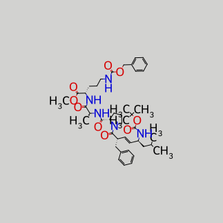 COC(=O)[C@H](CCCNC(=O)OCc1ccccc1)NC(=O)[C@H](C)NC(=O)[C@@H]1CCCN1C(=O)[C@H](/C=C/[C@H](CC(C)C)NC(=O)OC(C)(C)C)Cc1ccccc1